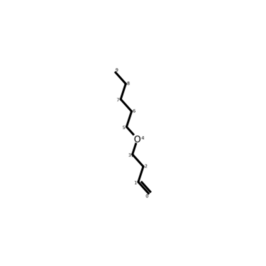 C=CC[CH]OCCCCC